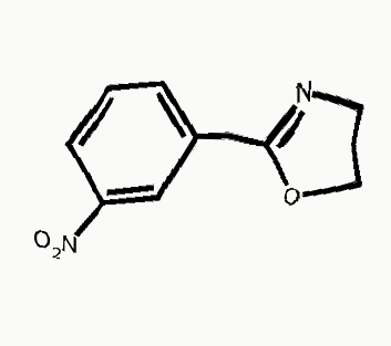 O=[N+]([O-])c1cccc(C2=NCCO2)c1